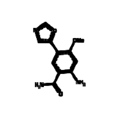 COc1cc(N)c(C(N)=O)cc1-c1cnco1